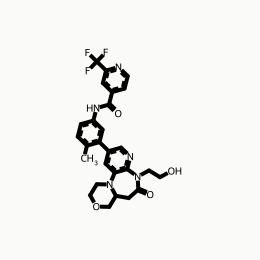 Cc1ccc(NC(=O)c2ccnc(C(F)(F)F)c2)cc1-c1cnc2c(c1)N1CCOCC1CC(=O)N2CCO